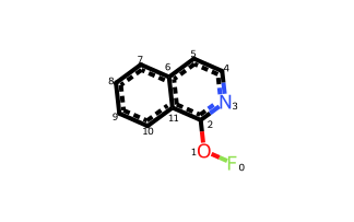 FOc1nccc2ccccc12